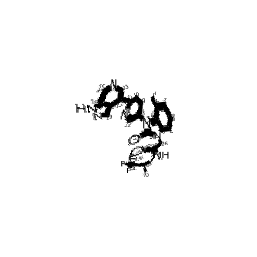 Cc1cccc2c1n(-c1ccc(-c3cncc4[nH]ncc34)nc1)c(=O)n2CC(=O)N[C@@H](C)C(F)(F)F